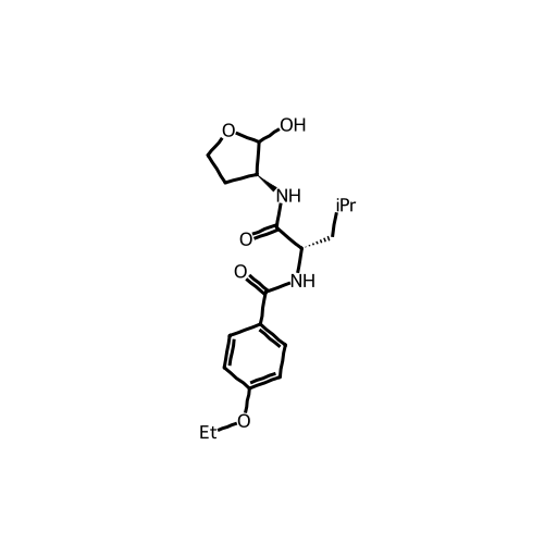 CCOc1ccc(C(=O)N[C@@H](CC(C)C)C(=O)N[C@H]2CCOC2O)cc1